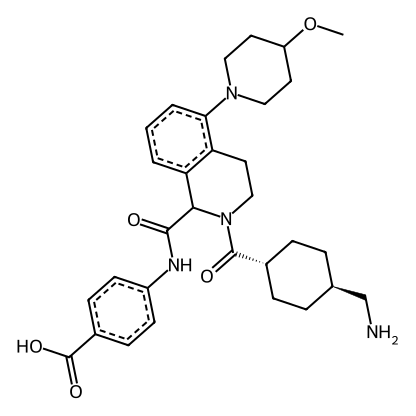 COC1CCN(c2cccc3c2CCN(C(=O)[C@H]2CC[C@H](CN)CC2)C3C(=O)Nc2ccc(C(=O)O)cc2)CC1